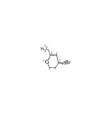 CC1CC(C(C)(C)C)CCO1